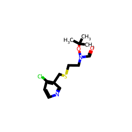 CC(C)(C)ON(C=O)CCSCc1cnccc1Cl